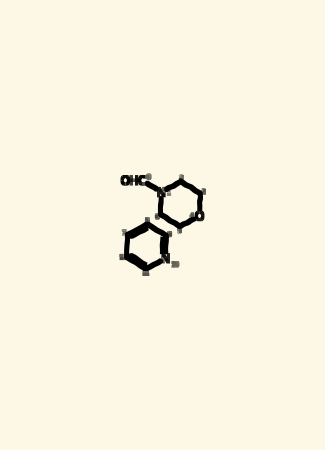 O=CN1CCOCC1.c1ccncc1